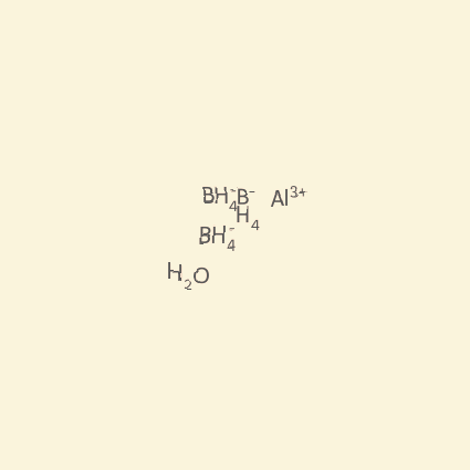 O.[Al+3].[BH4-].[BH4-].[BH4-]